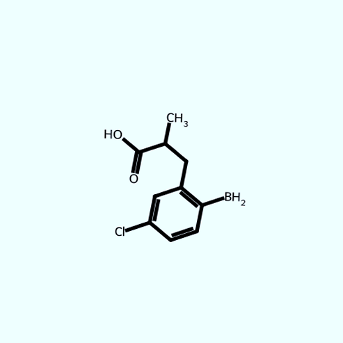 Bc1ccc(Cl)cc1CC(C)C(=O)O